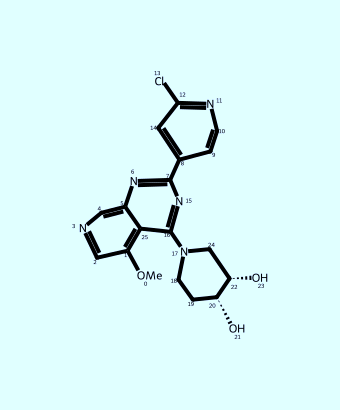 COc1cncc2nc(-c3ccnc(Cl)c3)nc(N3CC[C@@H](O)[C@@H](O)C3)c12